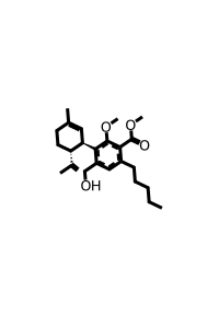 C=C(C)[C@@H]1CCC(C)=C[C@H]1c1c(CO)cc(CCCCC)c(C(=O)OC)c1OC